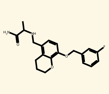 CC(NCc1ccc(OCc2cccc(F)c2)c2c1CCCO2)C(N)=O